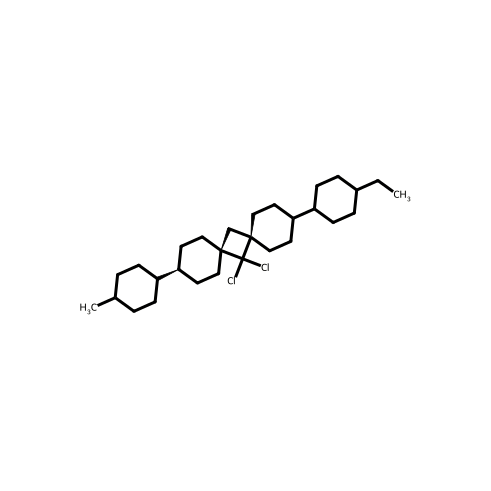 CCC1CCC(C2CC[C@]3(CC2)C[C@@]2(CC[C@H](C4CCC(C)CC4)CC2)C3(Cl)Cl)CC1